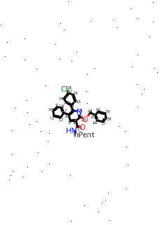 CCCCCNC(=O)c1cc(-c2ccccc2)c(-c2ccc(Cl)cc2)nc1OCc1ccccc1